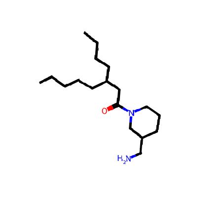 CCCCCC(CCCC)CC(=O)N1CCCC(CN)C1